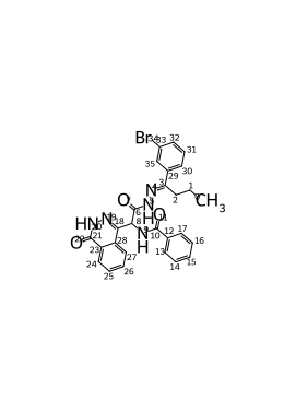 CCC/C(=N\NC(=O)C(NC(=O)c1ccccc1)c1n[nH]c(=O)c2ccccc12)c1cccc(Br)c1